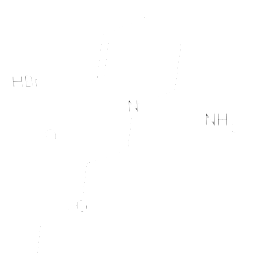 Br.CCOC(=O)CN1C=CC=CC1N